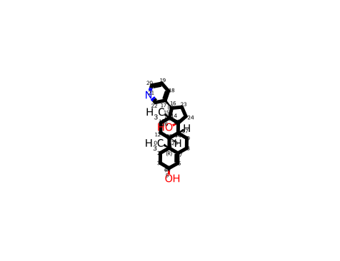 C[C@]12CC[C@H](O)C=C1CC[C@@H]1[C@@H]2CC[C@]2(C)[C@@H](c3cccnc3)CC[C@]12O